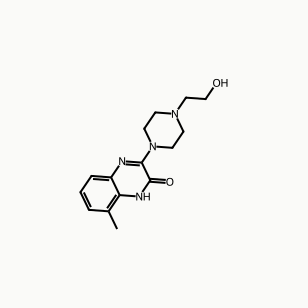 Cc1cccc2nc(N3CCN(CCO)CC3)c(=O)[nH]c12